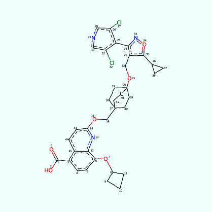 O=C(O)c1ccc(OC2CCC2)c2nc(OCC34CCC(OCc5c(-c6c(Cl)cncc6Cl)noc5C5CC5)(CC3)CC4)ccc12